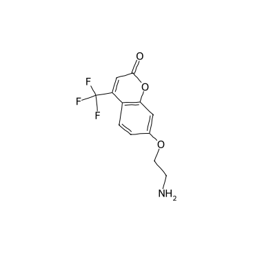 NCCOc1ccc2c(C(F)(F)F)cc(=O)oc2c1